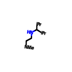 [CH2-][NH2+]CCNC(C(C)C)C(C)C